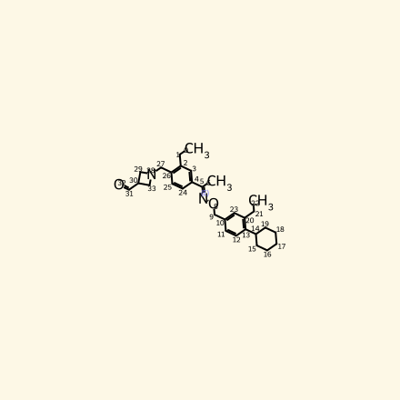 CCc1cc(/C(C)=N/OCc2ccc(C3CCCCC3)c(CC)c2)ccc1CN1CC(C=O)C1